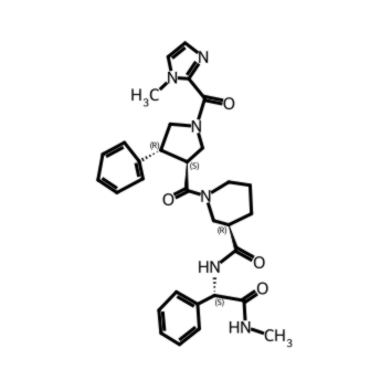 CNC(=O)[C@@H](NC(=O)[C@@H]1CCCN(C(=O)[C@@H]2CN(C(=O)c3nccn3C)C[C@H]2c2ccccc2)C1)c1ccccc1